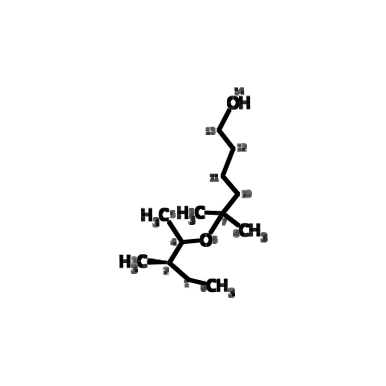 CC[C@@H](C)C(C)OC(C)(C)CCCCO